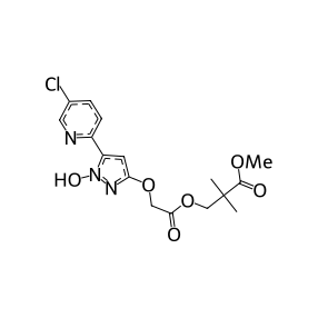 COC(=O)C(C)(C)COC(=O)COc1cc(-c2ccc(Cl)cn2)n(O)n1